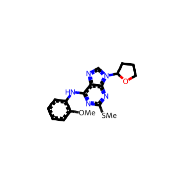 COc1ccccc1Nc1nc(SC)nc2c1ncn2C1CCCO1